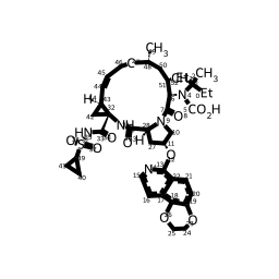 CCC(C)(CC)N(C(=O)O)[C@@H]1C(=O)N2C[C@H](Oc3nccc4c5c(ccc34)OCCO5)C[C@H]2C(=O)N[C@]2(C(=O)NS(=O)(=O)C3CC3)C[C@H]2C=CCC[C@H](C)C[C@H]1C